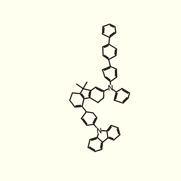 CC1(C)C2=C(CCC(N(c3ccccc3)c3ccc(-c4ccc(-c5ccccc5)cc4)cc3)=C2)C2=C1CCC=C2C1C=CC(n2c3ccccc3c3ccccc32)=CC1